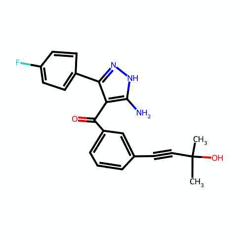 CC(C)(O)C#Cc1cccc(C(=O)c2c(-c3ccc(F)cc3)n[nH]c2N)c1